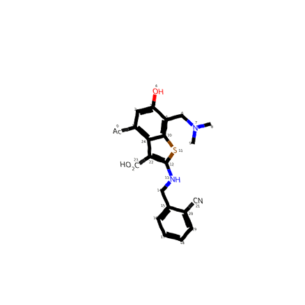 CC(=O)c1cc(O)c(CN(C)C)c2sc(NCc3ccccc3C#N)c(C(=O)O)c12